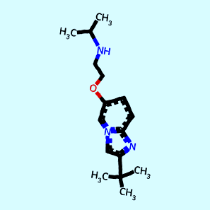 CC(C)NCCOc1ccc2nc(C(C)(C)C)cn2c1